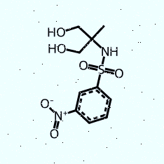 CC(CO)(CO)NS(=O)(=O)c1cccc([N+](=O)[O-])c1